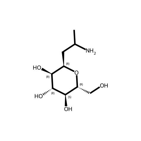 CC(N)C[C@H]1O[C@H](CO)[C@@H](O)[C@H](O)[C@H]1O